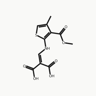 COC(=O)c1c(C)csc1NC=C(C(=O)O)C(=O)O